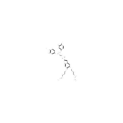 N#Cc1ccc(OP(=O)(CNS(=O)(=O)c2cc3cc(OCCCN=[N+]=[N-])c(OCCCN=[N+]=[N-])cc3s2)Oc2ccc(C#N)c(F)c2)cc1F